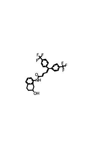 O=C(C=CC=C(c1ccc(C(F)(F)F)cc1)c1ccc(C(F)(F)F)cc1)Nc1cccc2c1CC(O)CC2